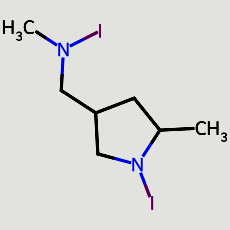 CC1CC(CN(C)I)CN1I